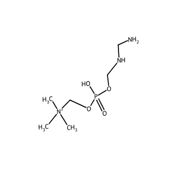 C[N+](C)(C)COP(=O)(O)OCNCN